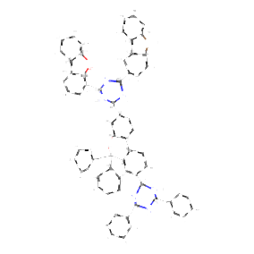 c1ccc(-c2nc(-c3ccccc3)nc(-c3ccc4c(c3)C(c3ccccc3)(c3ccccc3)Oc3cc(-c5nc(-c6ccc7sc8ccccc8c7c6)nc(-c6cccc7c6oc6ccccc67)n5)ccc3-4)n2)cc1